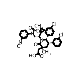 [C-]#[N+]c1cccc(N(C[C@H](C2CC2)N2C(=O)[C@@](C)(CC(=O)O)C[C@H](c3cccc(Cl)c3)[C@H]2c2ccc(Cl)cc2)S(C)(=O)=O)c1